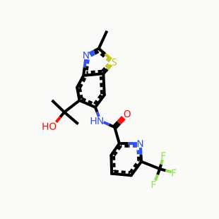 Cc1nc2cc(C(C)(C)O)c(NC(=O)c3cccc(C(F)(F)F)n3)cc2s1